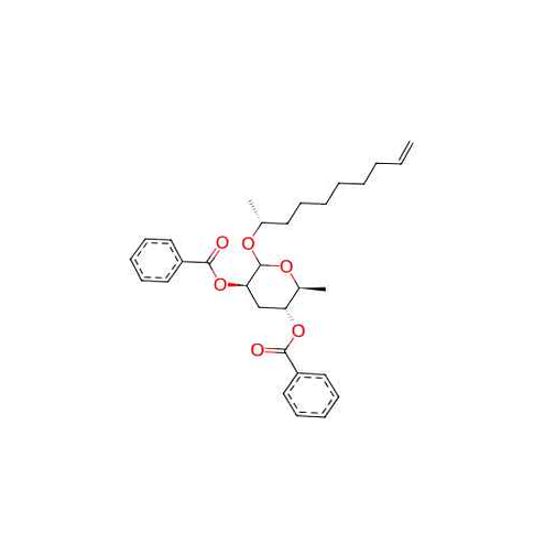 C=CCCCCCC[C@@H](C)OC1O[C@@H](C)[C@H](OC(=O)c2ccccc2)C[C@H]1OC(=O)c1ccccc1